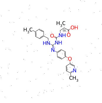 Cc1ccc(CN/C(=N/c2ccc(Oc3ccc(C)nc3)cc2)NC(=O)NC[C@H](C)C(=O)O)cc1